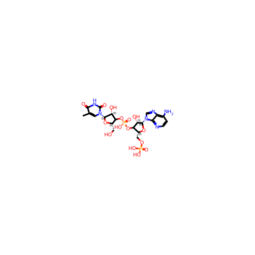 Cc1cn([C@H]2O[C@@H](CO)C(OP(=O)(O)OC3[C@@H](COP(=O)(O)O)O[C@@H](n4cnc5c(N)ccnc54)[C@H]3O)[C@H]2O)c(=O)[nH]c1=O